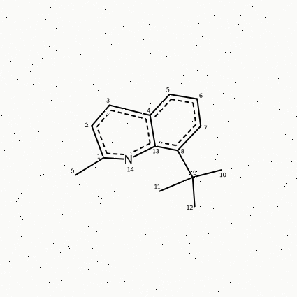 Cc1ccc2cccc(C(C)(C)C)c2n1